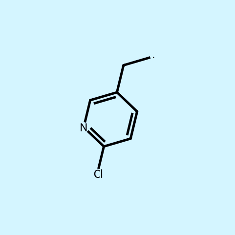 [CH2]Cc1ccc(Cl)nc1